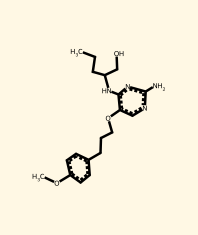 CCCC(CO)Nc1nc(N)ncc1OCCCc1ccc(OC)cc1